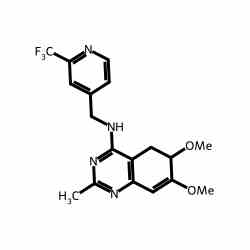 COC1=Cc2nc(C)nc(NCc3ccnc(C(F)(F)F)c3)c2CC1OC